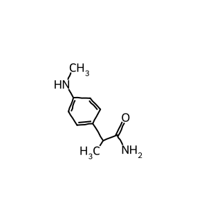 CNc1ccc(C(C)C(N)=O)cc1